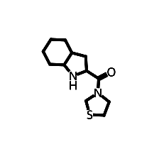 O=C(C1CC2CCCCC2N1)N1CCSC1